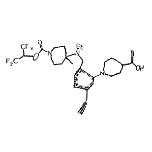 C#Cc1ccc(CN(CC)C2(C)CCN(C(=O)OC(C(F)(F)F)C(F)(F)F)CC2)c(N2CCC(C(=C)O)CC2)c1